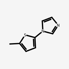 Cc1ccc(-n2ccnc2)s1